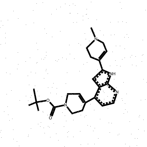 CN1CC=C(c2cc3c(C4=CCN(C(=O)OC(C)(C)C)CC4)ccnc3[nH]2)CC1